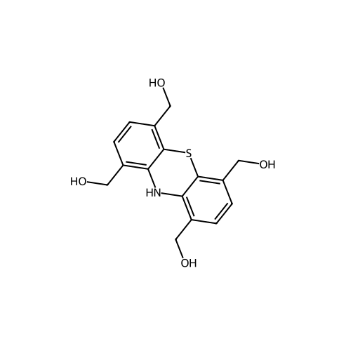 OCc1ccc(CO)c2c1Nc1c(CO)ccc(CO)c1S2